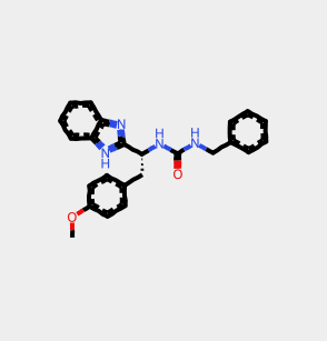 COc1ccc(C[C@@H](NC(=O)NCc2ccccc2)c2nc3ccccc3[nH]2)cc1